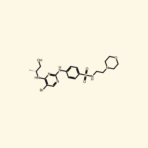 C[C@H](CO)Nc1nc(Nc2ccc(S(=O)(=O)NCCN3CCOCC3)cc2)ncc1Br